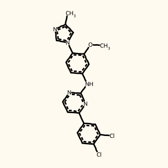 COc1cc(Nc2nccc(-c3ccc(Cl)c(Cl)c3)n2)ccc1-n1cnc(C)c1